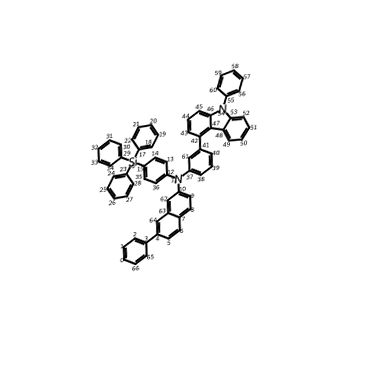 c1ccc(-c2ccc3ccc(N(c4ccc([Si](c5ccccc5)(c5ccccc5)c5ccccc5)cc4)c4cccc(-c5cccc6c5c5ccccc5n6-c5ccccc5)c4)cc3c2)cc1